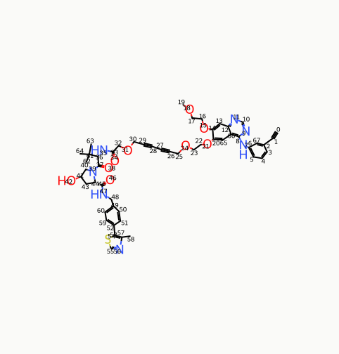 C#Cc1cccc(Nc2ncnc3cc(OCCOC)c(OCCOCC#CC#CCOCC(=O)N[C@H](C(=O)N4C[C@H](O)C[C@H]4C(=O)NCc4ccc(-c5scnc5C)cc4)C(C)(C)C)cc23)c1